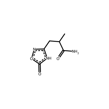 CC(Cc1noc(=O)[nH]1)C(N)=O